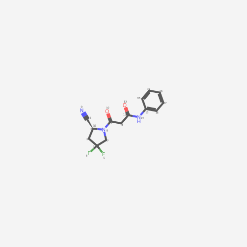 N#C[C@@H]1CC(F)(F)CN1C(=O)CC(=O)Nc1ccccc1